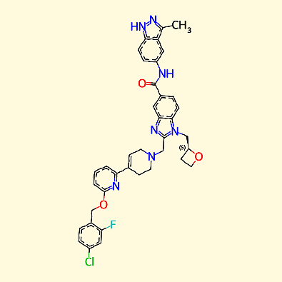 Cc1n[nH]c2ccc(NC(=O)c3ccc4c(c3)nc(CN3CC=C(c5cccc(OCc6ccc(Cl)cc6F)n5)CC3)n4C[C@@H]3CCO3)cc12